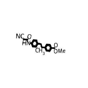 COC(=O)c1ccc(CCc2ccc(NC(=O)CC#N)cc2C)cc1